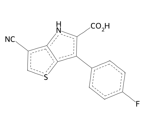 N#Cc1csc2c(-c3ccc(F)cc3)c(C(=O)O)[nH]c12